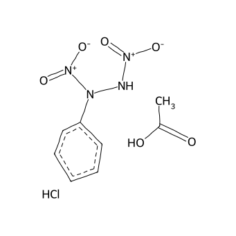 CC(=O)O.Cl.O=[N+]([O-])NN(c1ccccc1)[N+](=O)[O-]